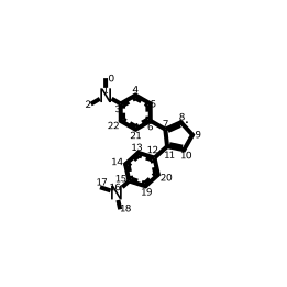 CN(C)c1ccc(C2=[C]CC=C2c2ccc(N(C)C)cc2)cc1